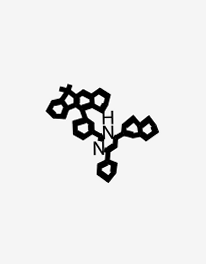 CC1(C)c2ccccc2-c2c1cc1ccccc1c2-c1cccc(C2=NC(c3ccccc3)=CC(c3ccc4ccccc4c3)N2)c1